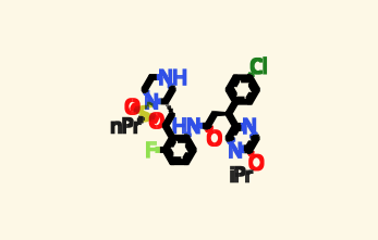 CCCS(=O)(=O)N1CCNC[C@@H]1CCc1c(F)cccc1NC(=O)C[C@@H](c1ccc(Cl)cc1)c1cnc(OC(C)C)cn1